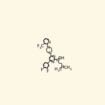 CN(C)CCN(O)c1nc(-c2ccc(F)c(F)c2)cc(N2CCN(c3ncccc3C(F)(F)F)CC2)n1